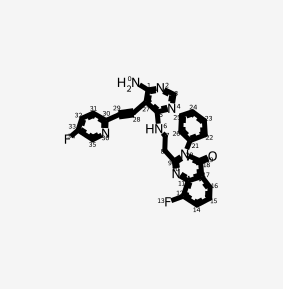 Nc1ncnc(NCCc2nc3c(F)cccc3c(=O)n2-c2ccccc2)c1C#Cc1ccc(F)cn1